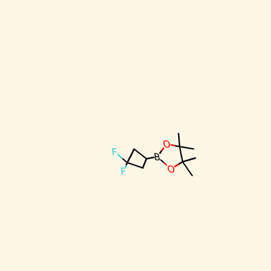 CC1(C)OB(C2CC(F)(F)C2)OC1(C)C